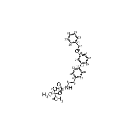 CC(C)(C)OC(=O)NCCc1ccc(-c2cccc(OCc3ccccc3)c2)cc1